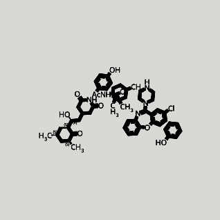 CC(=O)Nc1ccc(O)cc1.CC12CCC(CC1)C(C)(C)O2.C[C@@H]1C[C@@H]([C@H](O)CC2CC(=O)NC(=O)C2)C(=O)[C@@H](C)C1.Clc1ccc2c(c1)C(N1CCNCC1)=Nc1ccccc1O2.Oc1ccccc1